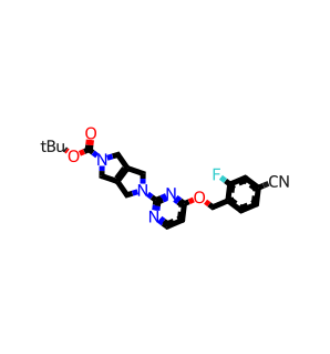 CC(C)(C)OC(=O)N1CC2=C(C1)CN(c1nccc(OCc3ccc(C#N)cc3F)n1)C2